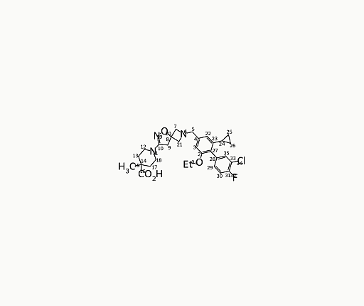 CCOc1cc(CN2CC3(CC(N4CCC(C)(C(=O)O)CC4)=NO3)C2)cc(C2CC2)c1-c1ccc(F)c(Cl)c1